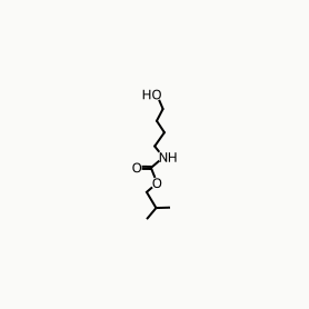 CC(C)COC(=O)NCCCCO